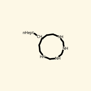 C1CCNCNCNCNCC1.CCCCCCCC